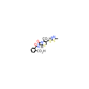 Cc1nnc(SCC2=C(C(=O)O)N3C(=O)C(NC(=O)c4ccccc4C(=O)O)[C@H]3SC2)s1